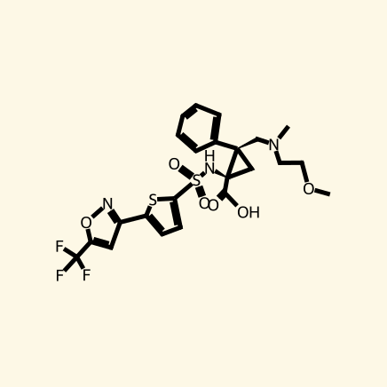 COCCN(C)C[C@@]1(c2ccccc2)C[C@]1(NS(=O)(=O)c1ccc(-c2cc(C(F)(F)F)on2)s1)C(=O)O